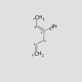 C=CC/C(=C/C)C(C)C